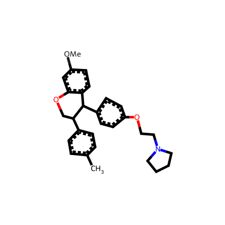 COc1ccc2c(c1)OCC(c1ccc(C)cc1)C2c1ccc(OCCN2CCCC2)cc1